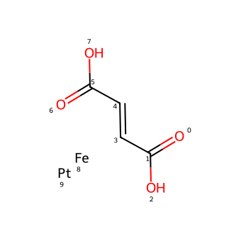 O=C(O)/C=C/C(=O)O.[Fe].[Pt]